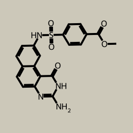 COC(=O)c1ccc(S(=O)(=O)Nc2ccc3ccc4nc(N)[nH]c(=O)c4c3c2)cc1